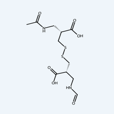 CC(=O)NC[C@@H](CSSC[C@H](CNC=O)C(=O)O)C(=O)O